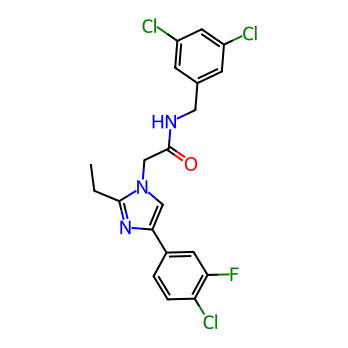 CCc1nc(-c2ccc(Cl)c(F)c2)cn1CC(=O)NCc1cc(Cl)cc(Cl)c1